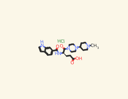 CN1CCC(N2CCN(C(=O)[C@@H](CCC(=O)O)NC(=O)c3ccc4cc[nH]c4c3)CC2)CC1.Cl